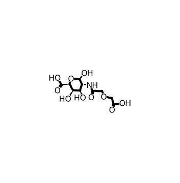 O=C(O)COCC(=O)N[C@@H]1[C@@H](O)[C@@H](O)[C@@H](C(=O)O)O[C@H]1O